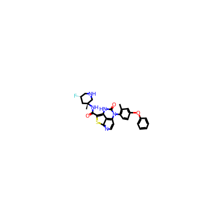 Cc1cc(Oc2ccccc2)ccc1N1C(=O)Nc2c(C(=O)N[C@@]3(C)CNC[C@@H](F)C3)sc3nccc1c23